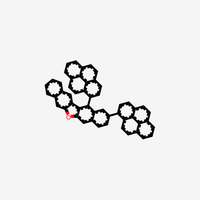 c1ccc2cc3c(cc2c1)oc1cc2ccc(-c4ccc5ccc6cccc7ccc4c5c67)cc2c(-c2ccc4ccc5cccc6ccc2c4c56)c13